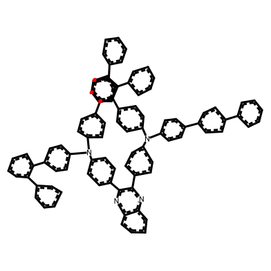 c1ccc(-c2ccc(-c3ccc(N(c4ccc(-c5ccccc5-c5ccccc5)cc4)c4ccc(-c5nc6ccccc6nc5-c5ccc(N(c6ccc(-c7ccc(-c8ccccc8)cc7)cc6)c6ccc(-c7ccccc7-c7ccccc7)cc6)cc5)cc4)cc3)cc2)cc1